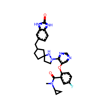 CN(C(=O)c1cc(F)ccc1Oc1cncnc1N1CCC2(CCC(Cc3ccc4[nH]c(=O)[nH]c4c3)C2)N1)C1CC1